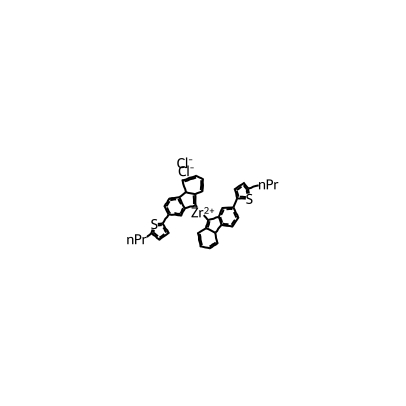 CCCc1ccc(-c2ccc3c(c2)[C]([Zr+2][C]2=C4C=CC=CC4c4ccc(-c5ccc(CCC)s5)cc42)=C2C=CC=CC23)s1.[Cl-].[Cl-]